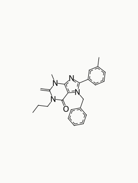 C=C1N(CCC)C(=O)c2c(nc(-c3cccc(C)c3)n2Cc2ccccc2)N1C